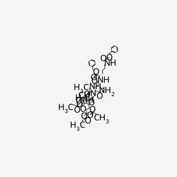 CCC(=O)OC[C@H]1O[C@H](OC(=O)CC)[C@H](NC(C)=O)[C@@H](OC(C)CN(C(=O)[C@H](C)N)[C@H](CCC(=O)N[C@@H](CCCCNC(=O)OCc2ccccc2)C(=O)OCc2ccccc2)C(N)=O)[C@@H]1OC(=O)CC